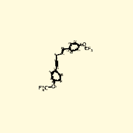 FC(F)(F)Oc1ccc(C#CCC=Cc2ccc(OC(F)(F)F)cc2)cc1